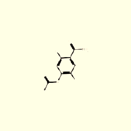 CC(=O)Nc1cc(O)c(C(N)=O)cc1Cl